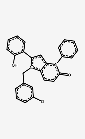 O=c1ccc2c(cc(-c3ccccc3O)n2Cc2cccc(Cl)c2)n1-c1ccccc1